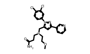 COCCN(CCC(N)=O)Cc1cc(-c2cccnc2)nn1-c1ccc(Cl)c(Cl)c1